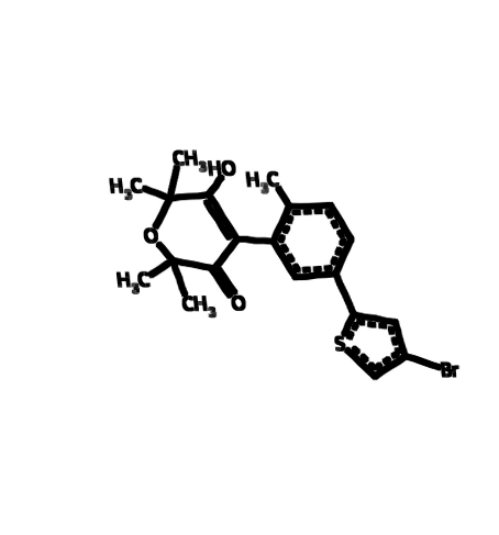 Cc1ccc(-c2cc(Br)cs2)cc1C1=C(O)C(C)(C)OC(C)(C)C1=O